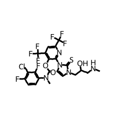 CNCC(O)Cn1ccn(-c2nc(C(F)(F)F)cc(C(F)(F)F)c2OC(=O)N(C)c2ccc(F)c(Cl)c2F)c1=S